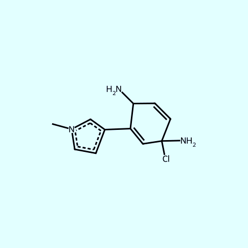 Cn1ccc(C2=CC(N)(Cl)C=CC2N)c1